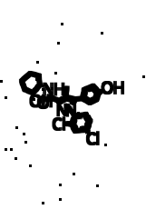 Cc1c(C(=O)N[C@H]2CCCC[C@H]2O)nn(-c2ccc(Cl)cc2Cl)c1-c1ccc(O)cc1